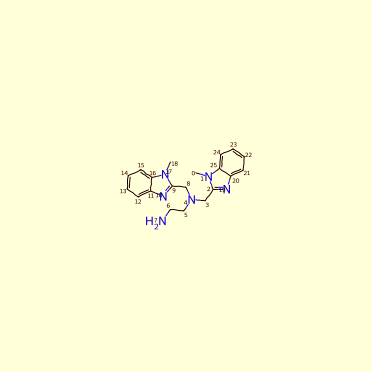 Cn1c(CN(CCN)Cc2nc3ccccc3n2C)nc2ccccc21